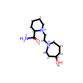 NC(=O)C1C[CH]CCN1CCN1CCCC(O)CC1